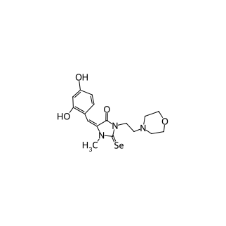 CN1C(=[Se])N(CCN2CCOCC2)C(=O)C1=Cc1ccc(O)cc1O